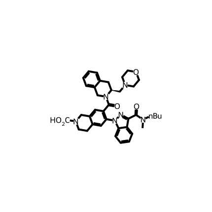 CCCCN(C)C(=O)c1nn(-c2cc3c(cc2C(=O)N2Cc4ccccc4C[C@H]2CN2CCOCC2)CN(C(=O)O)CC3)c2ccccc12